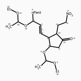 CCCCCC(/C=C/C1C(OC(C)OCC)CC(=O)C1CC[N+](=O)[O-])OC(C)OCC